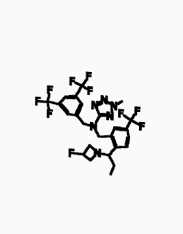 CCC(c1ccc(C(F)(F)F)cc1CN(Cc1cc(C(F)(F)F)cc(C(F)(F)F)c1)c1nnn(C)n1)N1CC(F)C1